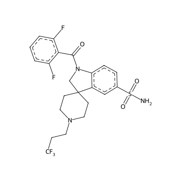 NS(=O)(=O)c1ccc2c(c1)C1(CCN(CCC(F)(F)F)CC1)CN2C(=O)c1c(F)cccc1F